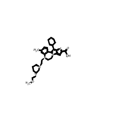 COCC[C@@H]1CCCN(CCN2CCn3c(c(C4CCCCC4)c4sc(C(=O)O)cc43)-c3ccc(C)cc32)C1